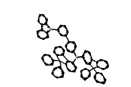 c1ccc(C2(c3ccccc3)c3ccccc3-c3ccc(N(c4ccc(-c5cccc(-n6c7ccccc7c7ccccc76)c5)cc4)c4cccc5c4-c4ccccc4C5(c4ccccc4)c4ccccc4)cc32)cc1